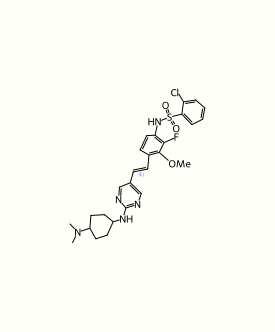 COc1c(/C=C/c2cnc(NC3CCC(N(C)C)CC3)nc2)ccc(NS(=O)(=O)c2ccccc2Cl)c1F